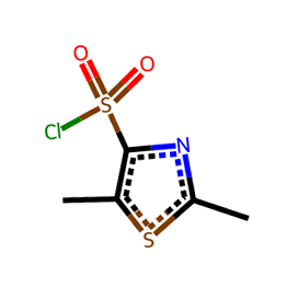 Cc1nc(S(=O)(=O)Cl)c(C)s1